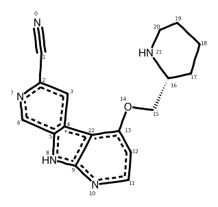 N#Cc1cc2c(cn1)[nH]c1nccc(OC[C@H]3CCCCN3)c12